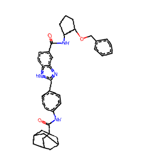 O=C(NC1CCCC1OCc1ccccc1)c1ccc2[nH]c(-c3ccc(NC(=O)C45CC6CC(CC(C6)C4)C5)cc3)nc2c1